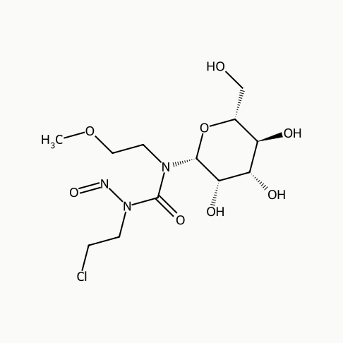 COCCN(C(=O)N(CCCl)N=O)[C@@H]1O[C@H](CO)[C@@H](O)[C@H](O)[C@@H]1O